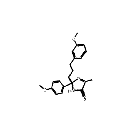 COc1ccc(C2(CCCc3cccc(OC)c3)N=C(C)C(=S)N2)cc1